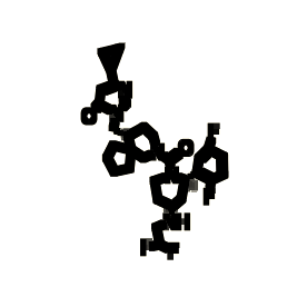 O=C(N1CC[C@@H](Cn2cnc(C3CC3)cc2=O)C2(CCCC2)C1)N1CC[C@@H](NCC(F)F)C[C@H]1c1cc(F)ccc1F